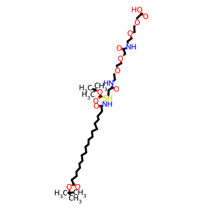 CC(C)(C)OC(=O)CCCCCCCCCCCCCCCCCCC(=O)N[SH](CCC(=O)NCCOCCOCC(=O)NCCOCCOCC(=O)O)C(=O)OC(C)(C)C